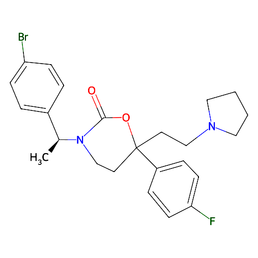 C[C@@H](c1ccc(Br)cc1)N1CCC(CCN2CCCC2)(c2ccc(F)cc2)OC1=O